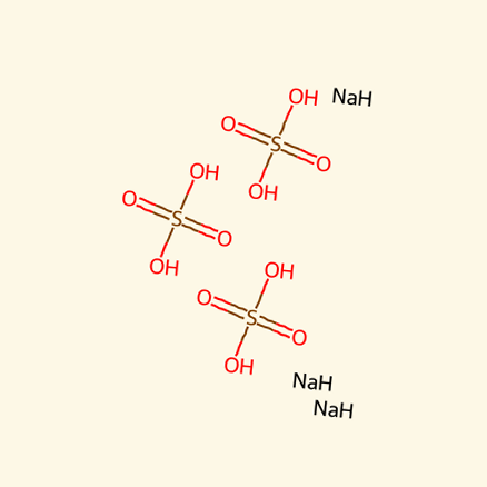 O=S(=O)(O)O.O=S(=O)(O)O.O=S(=O)(O)O.[NaH].[NaH].[NaH]